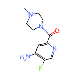 CN1CCN(C(=O)c2cc(N)c(F)cn2)CC1